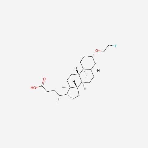 C[C@H](CCC(=O)O)[C@H]1CC[C@H]2[C@@H]3CC[C@@H]4C[C@@H](OCCF)CC[C@]4(C)[C@H]3CC[C@]12C